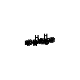 NC(CNc1ncc(-c2ccc3cnccc3c2)s1)Cc1ccc(NC(=O)OCc2ccccc2)cc1